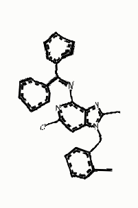 Cc1ccccc1Cn1c(C)nc2c(N=C(c3ccccc3)c3ccccc3)nc(Cl)cc21